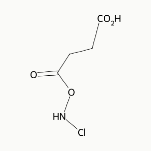 O=C(O)CCC(=O)ONCl